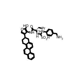 CC(C)C[C@H](NC(Nc1ccc(CN)cc1)S(=O)(=O)O)C(=O)Nc1c(C2CCc3c(ccc4c3ccc3ccccc34)C2)coc1O